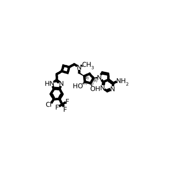 CN(CC1CC(Cc2nc3cc(C(F)(F)F)c(Cl)cc3[nH]2)C1)C[C@H]1C[C@@H](n2ccc3c(N)ncnc32)[C@H](O)[C@@H]1O